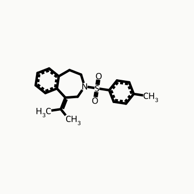 CC(C)=C1CN(S(=O)(=O)c2ccc(C)cc2)CCc2ccccc21